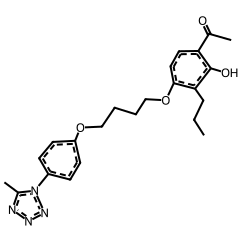 CCCc1c(OCCCCOc2ccc(-n3nnnc3C)cc2)ccc(C(C)=O)c1O